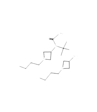 CC(C)(C)N(C(=O)O)C1CN(CCCF)C1.NC1CN(CCCF)C1